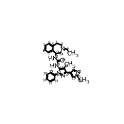 CCN1CCc2ccccc2C(NC(=O)Nc2c(C)c(-c3cnn(C)c3)nn2-c2ccccc2)C1